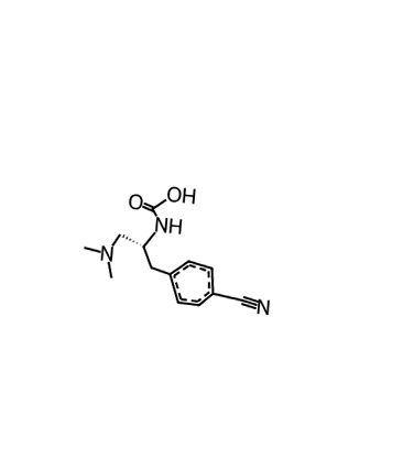 CN(C)C[C@@H](Cc1ccc(C#N)cc1)NC(=O)O